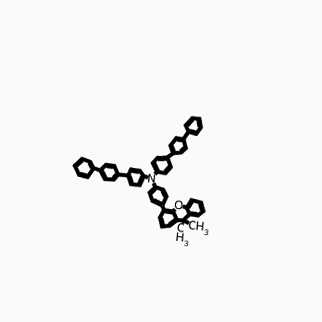 CC1(C)c2ccccc2Oc2c(-c3ccc(N(c4ccc(-c5ccc(-c6ccccc6)cc5)cc4)c4ccc(-c5ccc(-c6ccccc6)cc5)cc4)cc3)cccc21